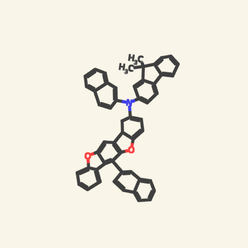 CC1(C)c2ccccc2-c2ccc(N(C3=CC=C4Oc5c(cc6oc7ccccc7c6c5-c5ccc6ccccc6c5)C4C3)c3ccc4ccccc4c3)cc21